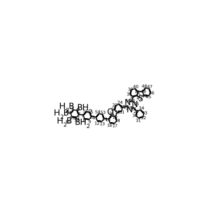 Bc1c(B)c(B)c(-c2ccc(-c3ccc(-c4cccc5c4oc4ccc(-c6nc(-c7ccccc7)nc(-c7cccc8c7sc7ccccc78)n6)cc45)cc3)cc2)c(B)c1B